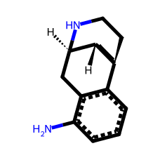 Nc1cccc2c1C[C@H]1NCC[C@@]23CCCC[C@@H]13